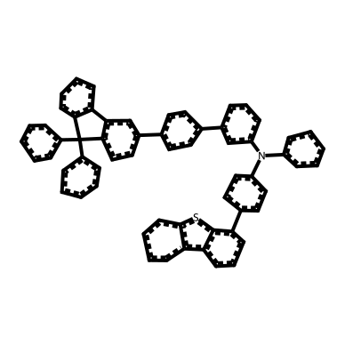 c1ccc(N(c2ccc(-c3cccc4c3sc3ccccc34)cc2)c2cccc(-c3ccc(-c4ccc5c(c4)-c4ccccc4C5(c4ccccc4)c4ccccc4)cc3)c2)cc1